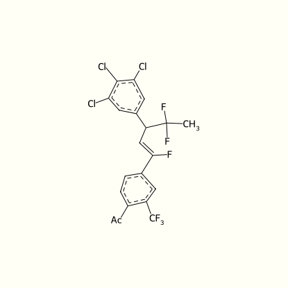 CC(=O)c1ccc(/C(F)=C/C(c2cc(Cl)c(Cl)c(Cl)c2)C(C)(F)F)cc1C(F)(F)F